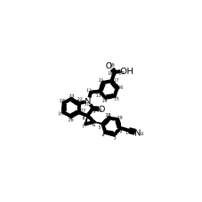 N#Cc1ccc([C@H]2C[C@@]23C(=O)N(Cc2cccc(C(=O)O)c2)c2ccccc23)cc1